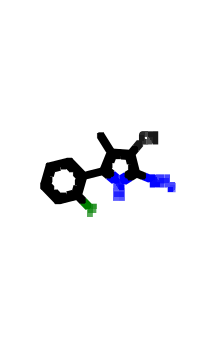 Cc1c(-c2ccccc2F)[nH]c(N)c1C#N